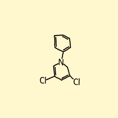 ClC1=CN(c2ccccc2)CC(Cl)=C1